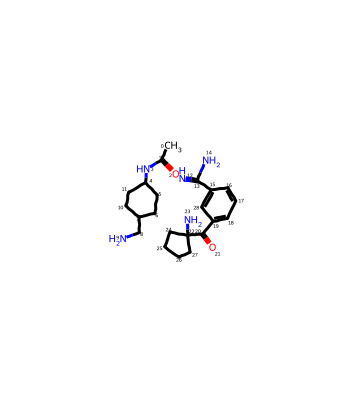 CC(=O)NC1CCC(CN)CC1.N=C(N)c1cccc(C(=O)C2(N)CCCC2)c1